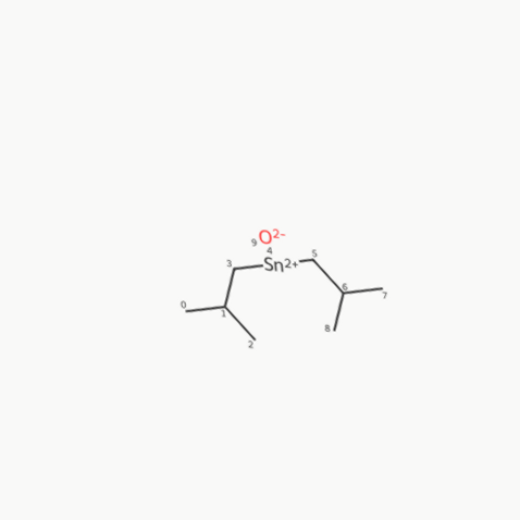 CC(C)[CH2][Sn+2][CH2]C(C)C.[O-2]